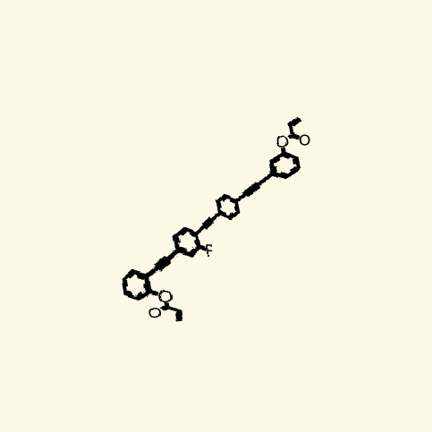 C=CC(=O)Oc1cccc(C#Cc2ccc(C#Cc3ccc(C#Cc4ccccc4OC(=O)C=C)cc3F)cc2)c1